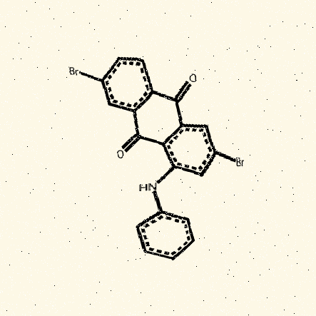 O=C1c2ccc(Br)cc2C(=O)c2c(Nc3ccccc3)cc(Br)cc21